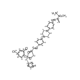 CN(N)C(=S)Nc1ccc(N2CCN(c3ccc(OCC4COC(Cc5nc[nH]n5)(c5ccc(Cl)cc5Cl)O4)cc3)CC2)cc1